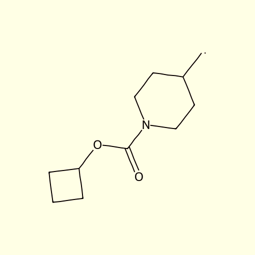 [CH2]C1CCN(C(=O)OC2CCC2)CC1